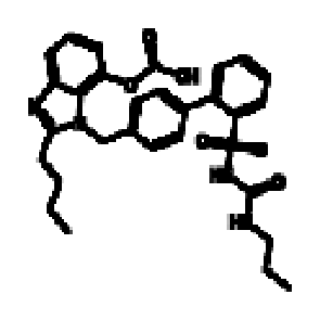 CCCCc1nc2cccc(OC(=O)O)c2n1Cc1ccc(-c2ccccc2S(=O)(=O)NC(=O)NCCC)cc1